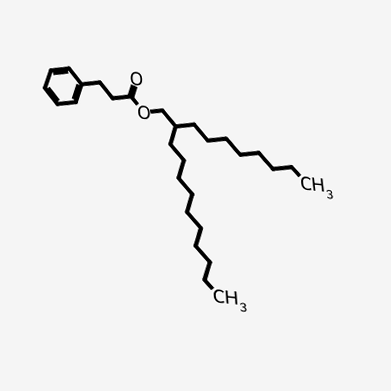 CCCCCCCCCCC(CCCCCCCC)COC(=O)CCc1ccccc1